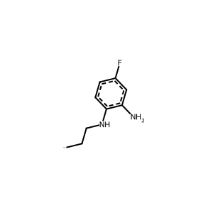 [CH2]CCNc1ccc(F)cc1N